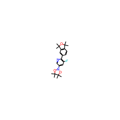 CC1(C)OC(C)(C)c2cc(-c3ncc(N4OC(C)(C)C(C)(C)O4)cc3F)ccc21